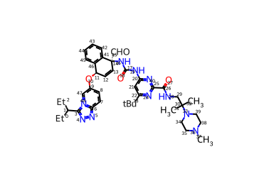 CCC(CC)c1nnc2ccc(O[C@@H]3C=C[C@](C=O)(NC(=O)Nc4cc(C(C)(C)C)nc(C(=O)NCC(C)(C)N5CCN(C)CC5)n4)c4ccccc43)cn12